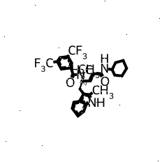 CC(=C[C@@H](Cc1c(C)[nH]c2ccccc12)N(C)C(=O)c1cc(C(F)(F)F)cc(C(F)(F)F)c1)C(=O)NC1CCCCC1